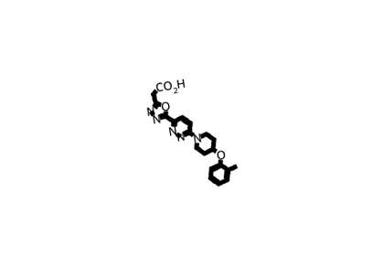 Cc1ccccc1OC1CCN(c2ccc(-c3nnc(CC(=O)O)o3)nn2)CC1